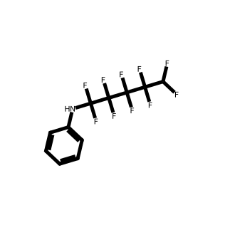 FC(F)C(F)(F)C(F)(F)C(F)(F)C(F)(F)Nc1ccccc1